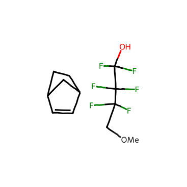 C1=CC2CCC1C2.COCC(F)(F)C(F)(F)C(O)(F)F